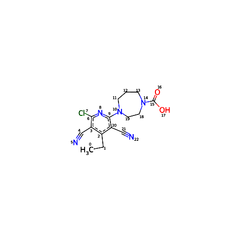 CCc1c(C#N)c(Cl)nc(N2CCCN(C(=O)O)CC2)c1C#N